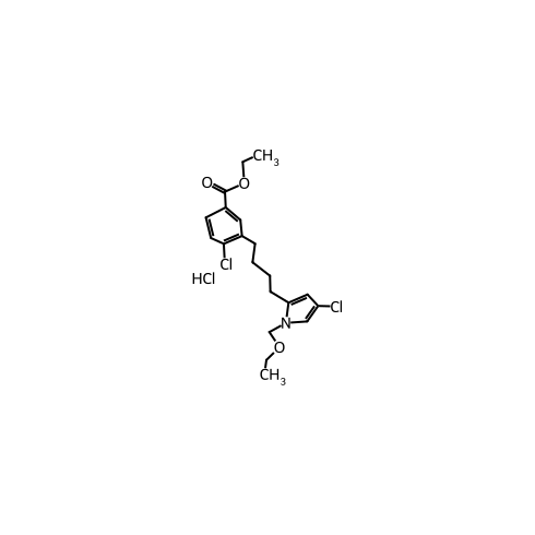 CCOCn1cc(Cl)cc1CCCCc1cc(C(=O)OCC)ccc1Cl.Cl